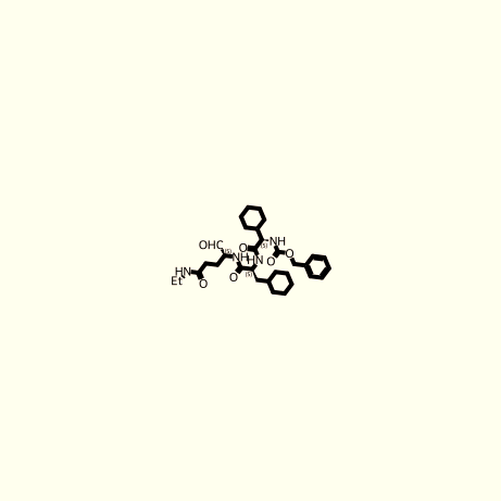 CCNC(=O)CC[C@@H](C=O)NC(=O)[C@H](CC1CCCCC1)NC(=O)[C@@H](NC(=O)OCc1ccccc1)C1CCCCC1